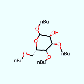 CCCCOC[C@@H]1OC(OCCCC)[C@@H](O)[C@@H](OCCCC)[C@@H]1OCCCC